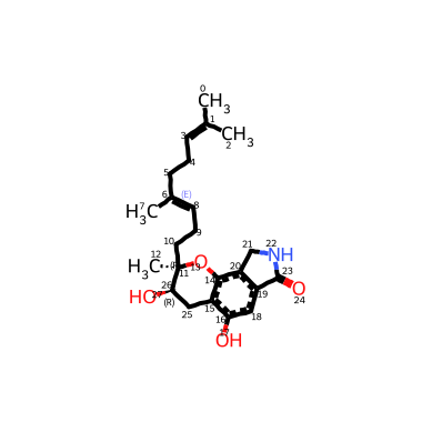 CC(C)=CCC/C(C)=C/CC[C@@]1(C)Oc2c(c(O)cc3c2CNC3=O)C[C@H]1O